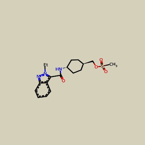 CCn1nc2ccccc2c1C(=O)N[C@H]1CC[C@H](COS(C)(=O)=O)CC1